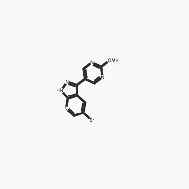 COc1ncc(-c2n[nH]c3ncc(Br)cc23)cn1